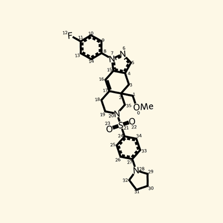 COCC12Cc3cnn(-c4ccc(F)cc4)c3C=C1CCN(S(=O)(=O)c1ccc(N3CCCC3)cc1)C2